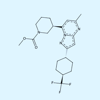 COC(=O)N1CCC[C@@H](c2cc(C)nc3cc([C@H]4CC[C@H](C(F)(F)F)CC4)nn23)C1